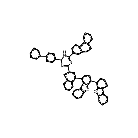 c1ccc(-c2ccc(C3N=C(c4cc(-c5ccc(-c6cccc7c6oc6ccccc67)c6oc7ccccc7c56)c5ccccc5c4)N=C(c4ccc5c(ccc6ccccc65)c4)N3)cc2)cc1